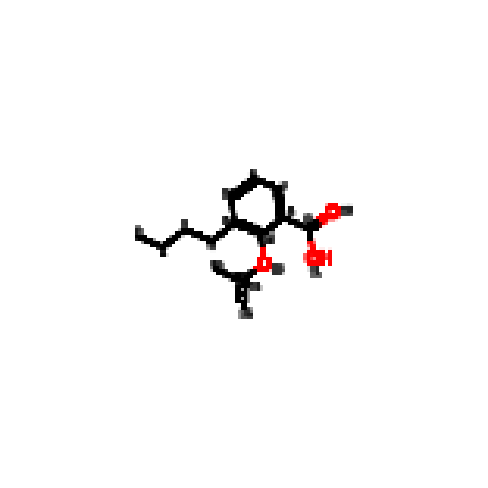 CCCCc1cccc(C(=O)O)c1O[SiH](C)C